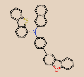 c1ccc2cc(N(c3ccc(-c4ccc5oc6ccccc6c5c4)cc3)c3cccc4c3sc3ccccc34)ccc2c1